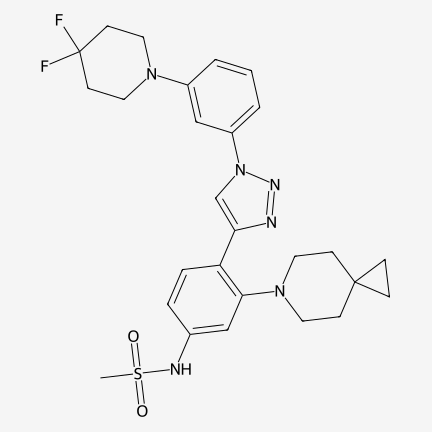 CS(=O)(=O)Nc1ccc(-c2cn(-c3cccc(N4CCC(F)(F)CC4)c3)nn2)c(N2CCC3(CC2)CC3)c1